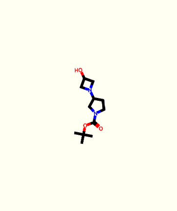 CC(C)(C)OC(=O)N1CCC(N2CC(O)C2)C1